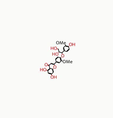 COc1cc(C(Oc2ccc(-c3cc(=O)c4c(O)cc(O)cc4o3)cc2OC)C(O)CO)ccc1O